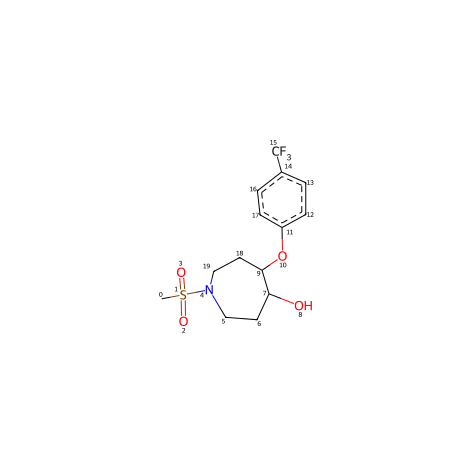 CS(=O)(=O)N1CCC(O)C(Oc2ccc(C(F)(F)F)cc2)CC1